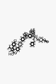 Cc1c(C(=O)O)c(-c2cccc(N3CCN(c4ccc(N5CCO[P@]5(=O)c5ccc(N[C@H](CCN6CCC(OP=O)CC6)CSc6ccccc6)c(S(=O)(=O)C(F)(F)F)c5)cc4)CC3)c2)c(-c2ccc(Cl)cc2)n1C(C)C